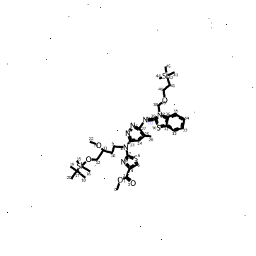 COC(=O)c1csc(N(CCC(CO[Si](C)(C)C(C)(C)C)OC)c2cc(C)c(/N=c3\sc4ccccc4n3COCC[Si](C)(C)C)nn2)n1